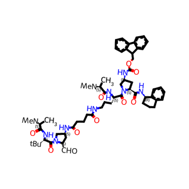 CN[C@@H](C)C(=O)N[C@@H](CCCNC(=O)CCCC(=O)N[C@H]1C[C@@H](C=O)N(C(=O)[C@@H](NC(=O)[C@H](C)NC)C(C)(C)C)C1)C(=O)N1C[C@@H](NC(=O)OCC2c3ccccc3-c3ccccc32)C[C@H]1C(=O)N[C@@H]1CCCc2ccccc21